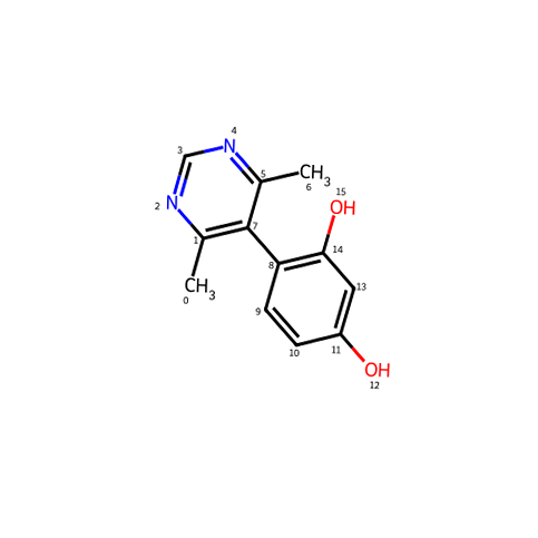 Cc1ncnc(C)c1-c1ccc(O)cc1O